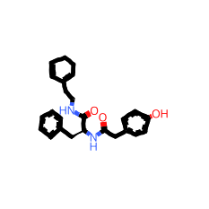 O=C(Cc1ccc(O)cc1)N[C@@H](Cc1ccccc1)C(=O)NCCC1=CCCC=C1